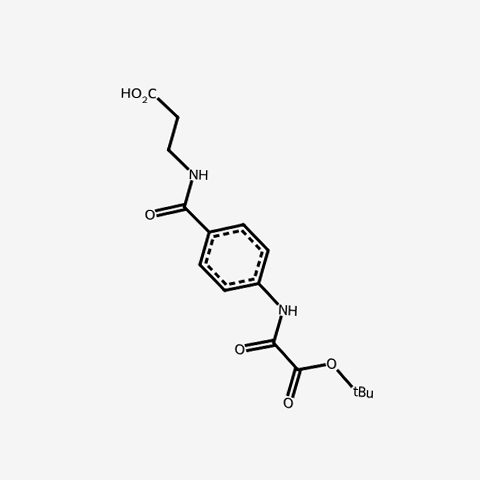 CC(C)(C)OC(=O)C(=O)Nc1ccc(C(=O)NCCC(=O)O)cc1